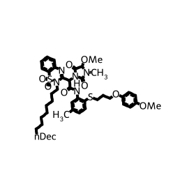 CCCCCCCCCCCCCCCCCCN1C(C(C(=O)Nc2cc(C)ccc2SCCCOc2ccc(OC)cc2)N2C(=O)C(OC)N(C)C2=O)=Nc2ccccc2S1(=O)=O